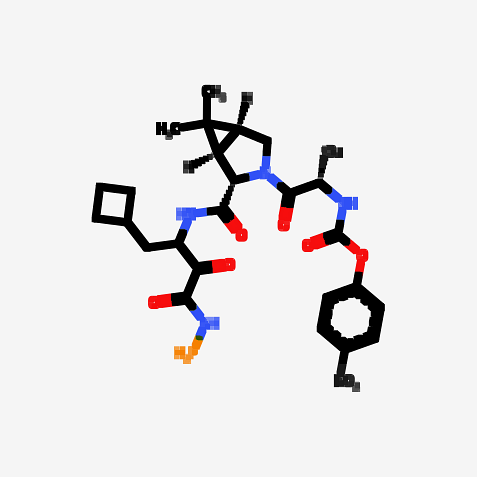 CC(C)(C)[C@H](NC(=O)Oc1ccc([N+](=O)[O-])cc1)C(=O)N1C[C@H]2[C@@H]([C@H]1C(=O)NC(CC1CCC1)C(=O)C(=O)NP)C2(C)C